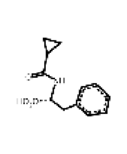 O=C(N[C@H](Cc1ccccc1)C(=O)O)C1CC1